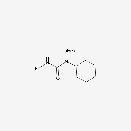 CCCCCCN(C(=O)NCC)C1CCCCC1